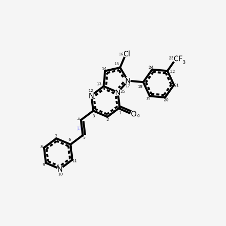 O=c1cc(/C=C/c2cccnc2)nc2cc(Cl)n(-c3cccc(C(F)(F)F)c3)n12